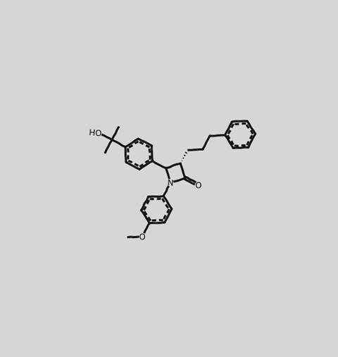 COc1ccc(N2C(=O)[C@@H](CCCc3ccccc3)C2c2ccc(C(C)(C)O)cc2)cc1